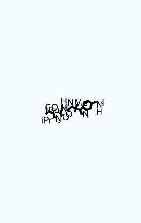 CN[C@@H](C(=O)N[C@H](C(=O)N(C)[C@H](/C=C(\C)C(=O)O)C(C)C)C(C)(C)C)C(C)(C)c1cn(C)c2cc(CNI)ccc12